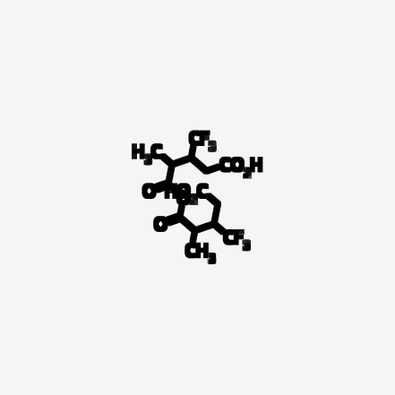 CC(C(=O)OC(=O)C(C)C(CC(=O)O)C(F)(F)F)C(CC(=O)O)C(F)(F)F